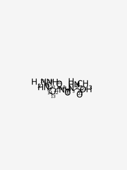 CNC(CNC(=O)CNC(=O)c1cccc(NC(=N)N)c1)C(=O)O